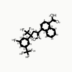 O=C(O)c1ccc(C2=NOC(c3cc(F)cc(C(F)(F)F)c3)(C(F)(F)F)C2)c2ccccc12